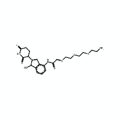 NCCOCCOCCOCC(=O)Nc1cccc2c1CN(C1CCC(=O)NC1=O)C2O